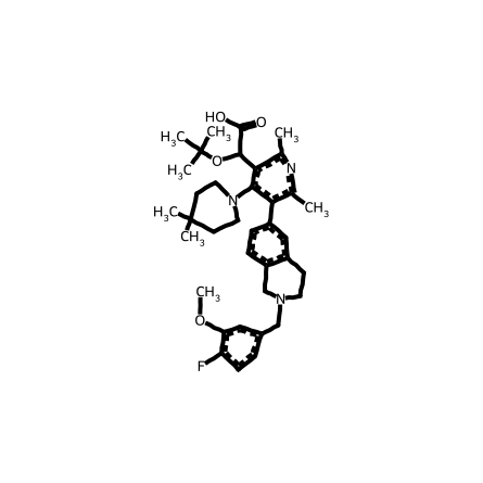 COc1cc(CN2CCc3cc(-c4c(C)nc(C)c(C(OC(C)(C)C)C(=O)O)c4N4CCC(C)(C)CC4)ccc3C2)ccc1F